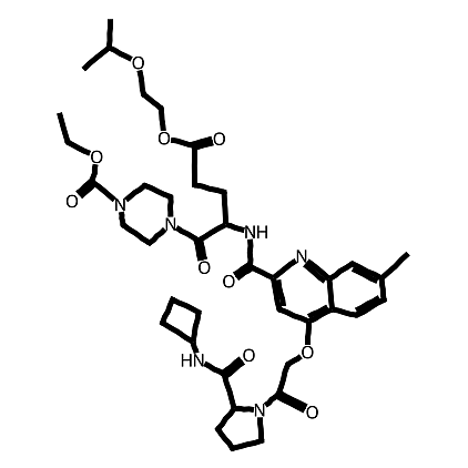 CCOC(=O)N1CCN(C(=O)C(CCC(=O)OCCOC(C)C)NC(=O)c2cc(OCC(=O)N3CCCC3C(=O)NC3CCC3)c3ccc(C)cc3n2)CC1